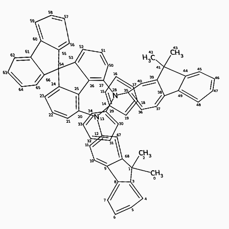 CC1(C)c2ccccc2-c2ccc(N(c3ccccc3)c3cccc4c3-c3c(N(c5ccccc5)c5ccc6c(c5)C(C)(C)c5ccccc5-6)cccc3C43c4ccccc4-c4ccccc43)cc21